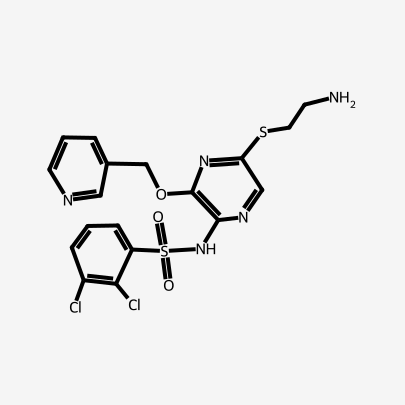 NCCSc1cnc(NS(=O)(=O)c2cccc(Cl)c2Cl)c(OCc2cccnc2)n1